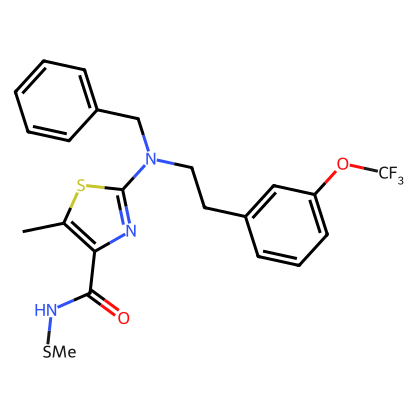 CSNC(=O)c1nc(N(CCc2cccc(OC(F)(F)F)c2)Cc2ccccc2)sc1C